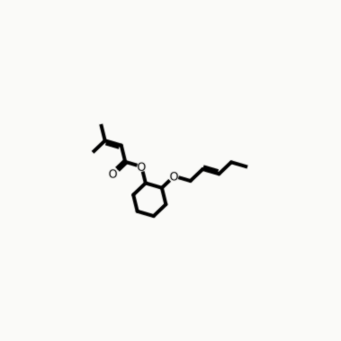 CCC=CCOC1CCCCC1OC(=O)C=C(C)C